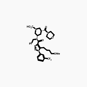 COCCCCc1c(C(=O)N(CC(C)C)[C@H]2C[C@@H](C(=O)N3CCOCC3)CN(C(=O)O)C2)nnn1-c1cccc(C(F)(F)F)c1